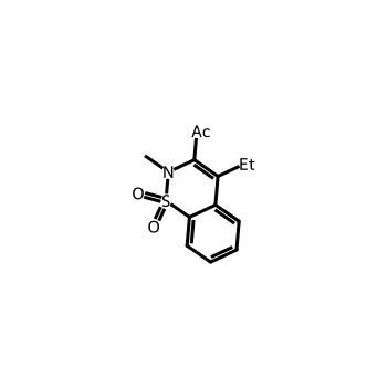 CCC1=C(C(C)=O)N(C)S(=O)(=O)c2ccccc21